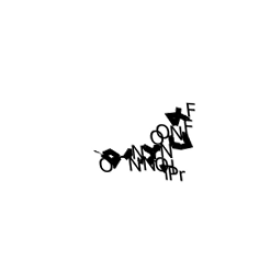 CC(C)Oc1nc2nc([C@]34CO[C@@](C)(C3)C4)cn2cc1C(=O)Nc1cccn(C2CC2(C)C(F)F)c1=O